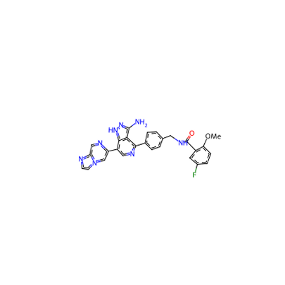 COc1ccc(F)cc1C(=O)NCc1ccc(-c2ncc(-c3cn4ccnc4cn3)c3[nH]nc(N)c23)cc1